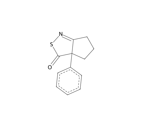 O=C1SN=C2CCCC12c1ccccc1